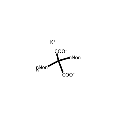 CCCCCCCCCC(CCCCCCCCC)(C(=O)[O-])C(=O)[O-].[K+].[K+]